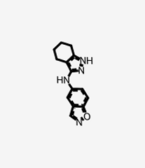 c1cc2oncc2cc1Nc1n[nH]c2c1CCCC2